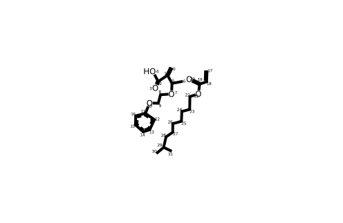 C=C(C(=O)O)C(C)OCCOc1ccccc1.C=CC(=O)OCCCCCCCC(C)C